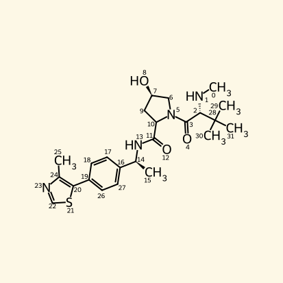 CN[C@@H](C(=O)N1C[C@H](O)CC1C(=O)N[C@@H](C)c1ccc(-c2scnc2C)cc1)C(C)(C)C